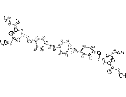 C=CC(=O)OCC(COc1ccc(C#Cc2ccc(C#Cc3ccc(OCC(COC(=O)C=C)OC(=O)C=C)cc3)cc2)cc1)OC(=O)C=C